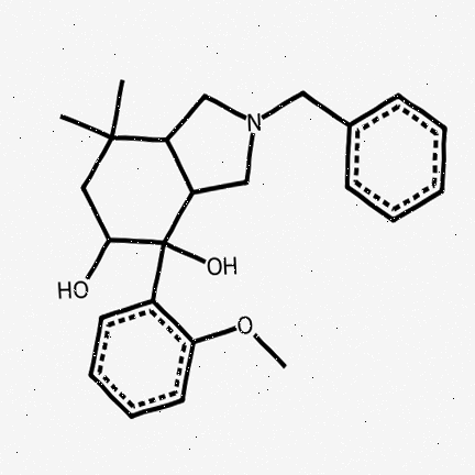 COc1ccccc1C1(O)C(O)CC(C)(C)C2CN(Cc3ccccc3)CC21